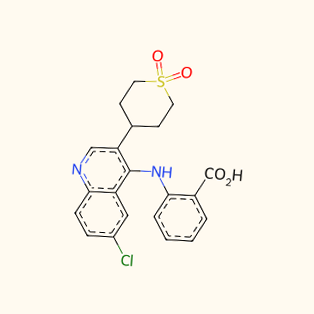 O=C(O)c1ccccc1Nc1c(C2CCS(=O)(=O)CC2)cnc2ccc(Cl)cc12